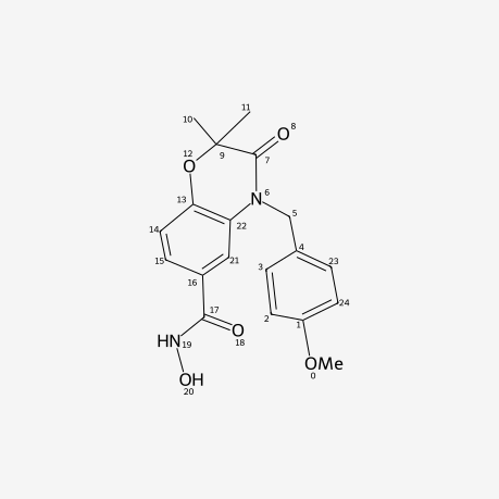 COc1ccc(CN2C(=O)C(C)(C)Oc3ccc(C(=O)NO)cc32)cc1